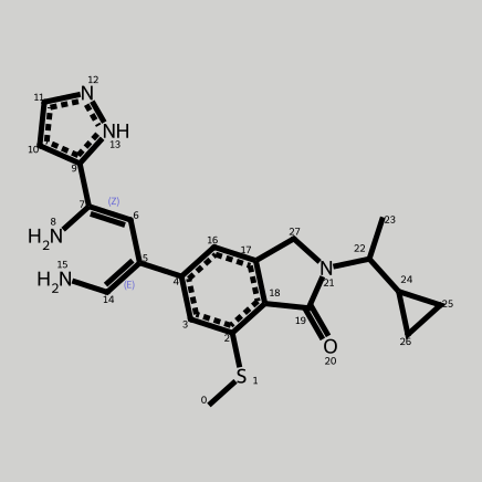 CSc1cc(C(/C=C(\N)c2ccn[nH]2)=C/N)cc2c1C(=O)N(C(C)C1CC1)C2